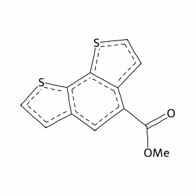 COC(=O)c1cc2ccsc2c2sccc12